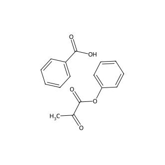 CC(=O)C(=O)Oc1ccccc1.O=C(O)c1ccccc1